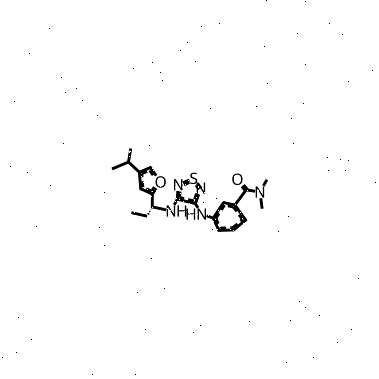 CC[C@@H](Nc1nsnc1Nc1cccc(C(=O)N(C)C)c1)c1cc(C(C)C)co1